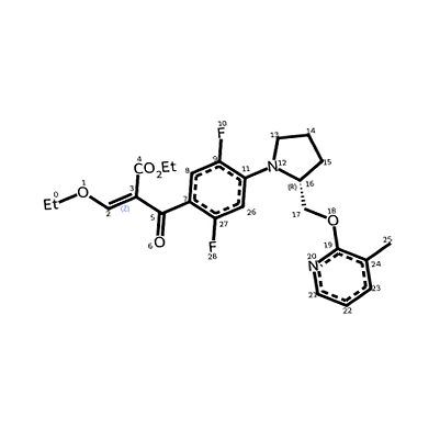 CCO/C=C(\C(=O)OCC)C(=O)c1cc(F)c(N2CCC[C@@H]2COc2ncccc2C)cc1F